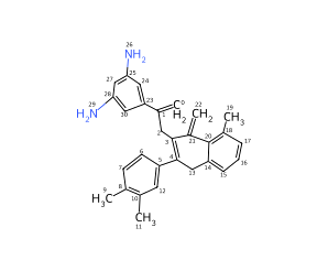 C=C(CC1=C(c2ccc(C)c(C)c2)Cc2cccc(C)c2C1=C)c1cc(N)cc(N)c1